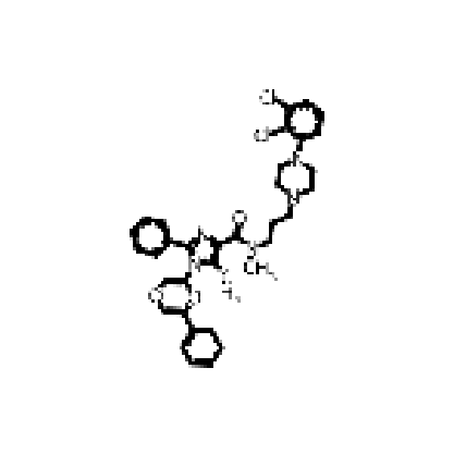 Cc1c(C(=O)N(C)CCCN2CCN(c3cccc(Cl)c3Cl)CC2)nc(-c2ccccc2)n1C1=COC=C(C2=CC=CCC2)O1